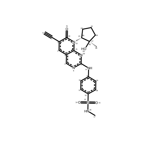 C#Cc1cc2cnc(Nc3ccc(S(=O)(=O)NC)cc3)nc2n([C@@H]2CCC[C@@]2(C)O)c1=O